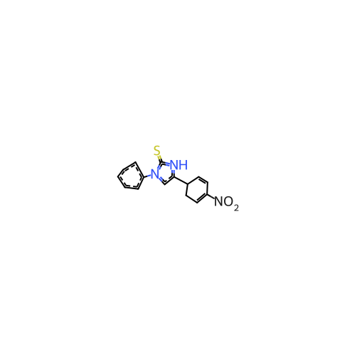 O=[N+]([O-])C1=CCC(c2cn(-c3ccccc3)c(=S)[nH]2)C=C1